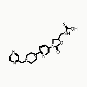 O=C1OC(CNC(O)=S)CN1c1ccc(N2CCN(Cc3cnccn3)CC2)nc1